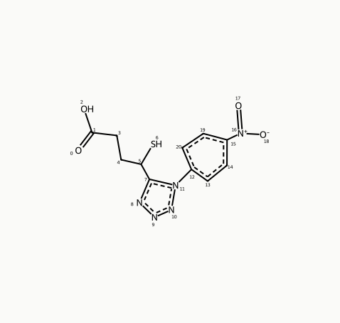 O=C(O)CCC(S)c1nnnn1-c1ccc([N+](=O)[O-])cc1